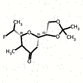 CC(F)[C@@H]1O[C@H]([C@@H]2COC(C)(C)O2)CC(=O)C1C